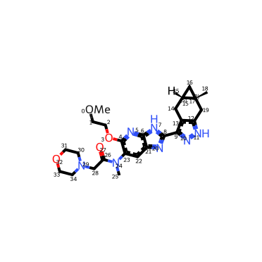 COCCOc1nc2[nH]c(-c3n[nH]c4c3C[C@@H]3C[C@]3(C)C4)nc2cc1N(C)C(=O)CN1CCOCC1